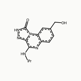 CC(C)Nc1nc2ccc(CO)cc2n2c(=O)[nH]nc12